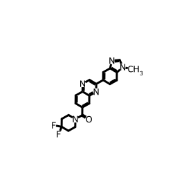 Cn1cnc2cc(-c3cnc4ccc(C(=O)N5CCC(F)(F)CC5)cc4n3)ccc21